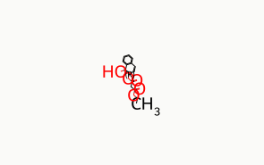 CCOC(=O)CC(=O)O[C@@H]1C=Cc2ccccc2C1O